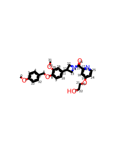 COc1ccc(COc2ccc(C3CN(C(=O)c4cc(OCCO)ccn4)C3)cc2OC)cc1